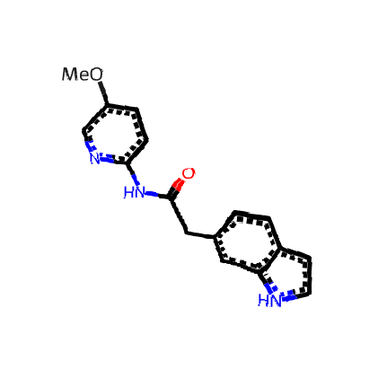 COc1ccc(NC(=O)Cc2ccc3cc[nH]c3c2)nc1